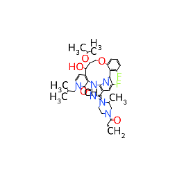 C=CC(=O)N1CCN(c2nc(=O)n3c4nc(c(F)cc24)-c2c(F)cccc2OCC(OC(C)C)C(O)C2=C3[C@@H](C)N(CC(C)C)C=C2)[C@@H](C)C1